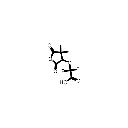 CC1(C)C(=O)OC(=O)C1OC(F)(F)C(=O)O